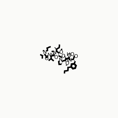 CCCCc1cccc(C[C@H](NC(=O)[C@H](C)[C@@H](OC)[C@@H]2CCCN2C(=O)C[C@@H](OC)[C@H]([C@@H](C)CC)N(C)C(=O)[C@@H](NC(=O)[C@H](C(C)C)N(C)CCC)C(C)C)C(=O)O)c1